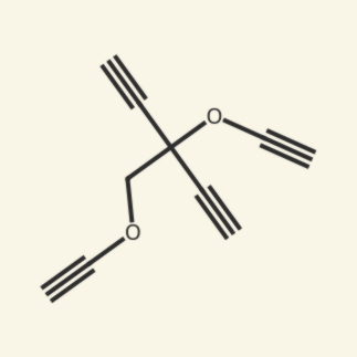 C#COCC(C#C)(C#C)OC#C